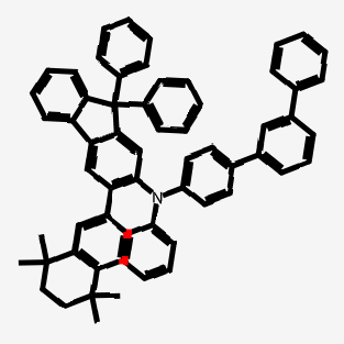 CC1(C)CCC(C)(C)c2cc(-c3cc4c(cc3N(c3ccccc3)c3ccc(-c5cccc(-c6ccccc6)c5)cc3)C(c3ccccc3)(c3ccccc3)c3ccccc3-4)ccc21